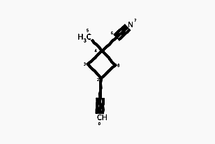 C#CC1CC(C)(C#N)C1